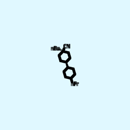 CCCC[C@]1(C#N)CC[C@@H](C2CCC(CCC)CC2)CC1